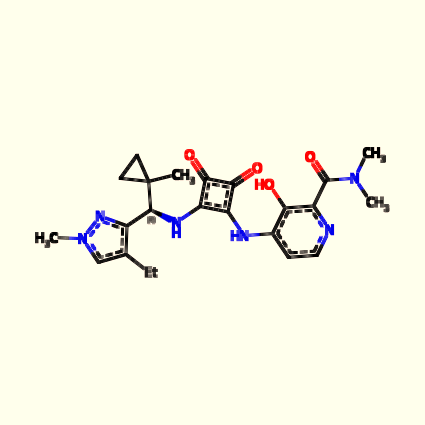 CCc1cn(C)nc1[C@H](Nc1c(Nc2ccnc(C(=O)N(C)C)c2O)c(=O)c1=O)C1(C)CC1